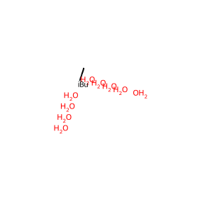 O.O.O.O.O.O.O.O.O.[CH2]CC(C)C